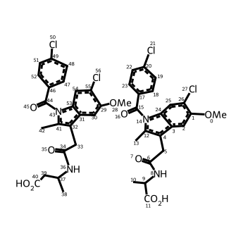 COc1cc2c(CC(=O)NC(C)C(=O)O)c(C)n(C(=O)c3ccc(Cl)cc3)c2cc1Cl.COc1cc2c(CC(=O)NC(C)CC(=O)O)c(C)n(C(=O)c3ccc(Cl)cc3)c2cc1Cl